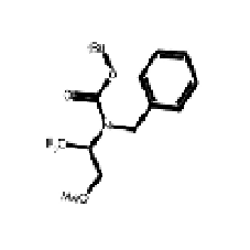 COCC(N(Cc1ccccc1)C(=O)OC(C)(C)C)C(F)(F)F